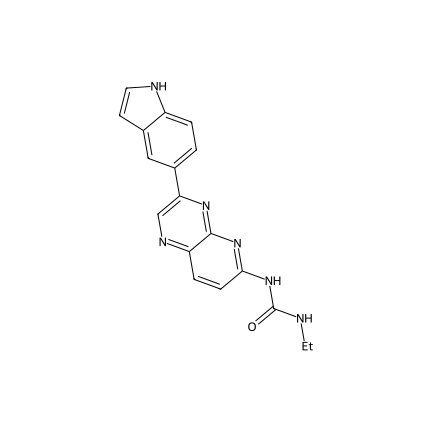 CCNC(=O)Nc1ccc2ncc(-c3ccc4[nH]ccc4c3)nc2n1